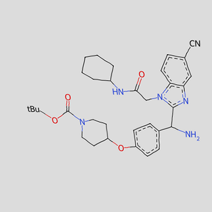 CC(C)(C)OC(=O)N1CCC(Oc2ccc(C(N)c3nc4cc(C#N)ccc4n3CC(=O)NC3CCCCC3)cc2)CC1